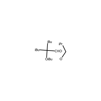 CC(C)C[O].CCC(C)C([C]=O)(OCC(C)C)C(C)CC